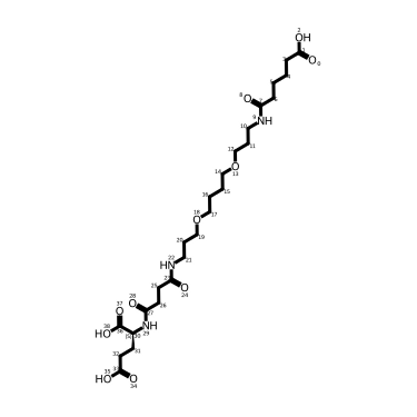 O=C(O)CCCCC(=O)NCCCOCCCCOCCCNC(=O)CCC(=O)N[C@@H](CCC(=O)O)C(=O)O